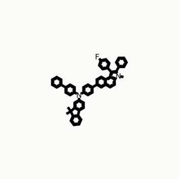 Cn1c(-c2ccccc2)c(-c2ccc(F)cc2)c2c3ccc(-c4ccc(N(c5ccc(-c6ccccc6)cc5)c5ccc6c(c5)C(C)(C)c5ccccc5-6)cc4)cc3ccc21